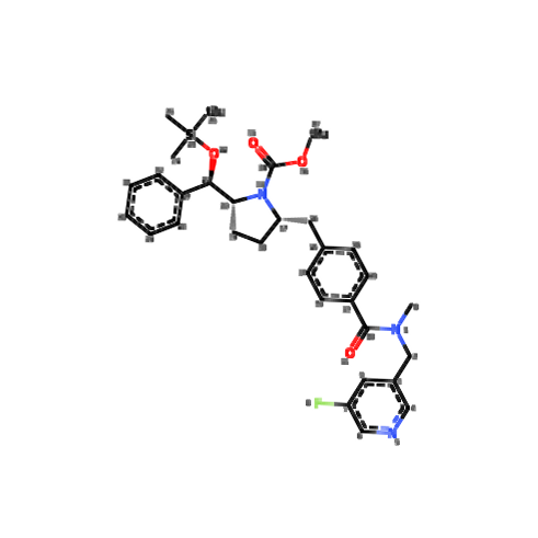 CN(Cc1cncc(F)c1)C(=O)c1ccc(C[C@@H]2CC[C@H]([C@H](O[Si](C)(C)C(C)(C)C)c3ccccc3)N2C(=O)OC(C)(C)C)cc1